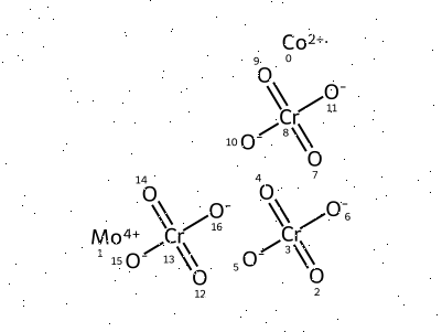 [Co+2].[Mo+4].[O]=[Cr](=[O])([O-])[O-].[O]=[Cr](=[O])([O-])[O-].[O]=[Cr](=[O])([O-])[O-]